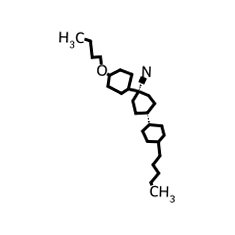 CCCCCC1CCC([C@H]2CC[C@](C#N)(C3CCC(OCCCC)CC3)CC2)CC1